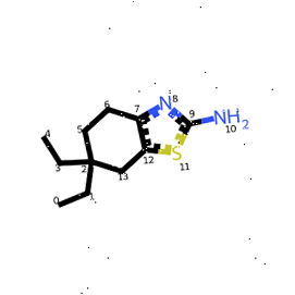 CCC1(CC)CCc2nc(N)sc2C1